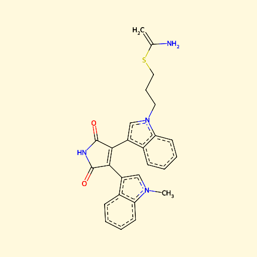 C=C(N)SCCCn1cc(C2=C(c3cn(C)c4ccccc34)C(=O)NC2=O)c2ccccc21